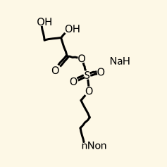 CCCCCCCCCCCCOS(=O)(=O)OC(=O)C(O)CO.[NaH]